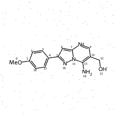 COc1ccc(-c2cc3ncc(CO)c(N)n3n2)cc1